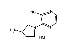 Cl.N#Cc1nccnc1N1CCC(N)C1